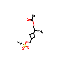 CCC(=O)OCC(C)C1CC(COS(C)(=O)=O)C1